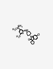 Cc1cc(N(C)C)cc(N[C@H]2CC[C@@H](NC(=O)C3(c4ccc(Cl)cc4)CCCC3)CC2)n1